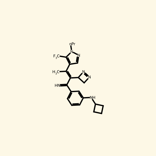 CCCn1ncc(/C(C)=C(/C(=N)c2cccc(NC3CCC3)c2)C2CN=N2)c1C(F)(F)F